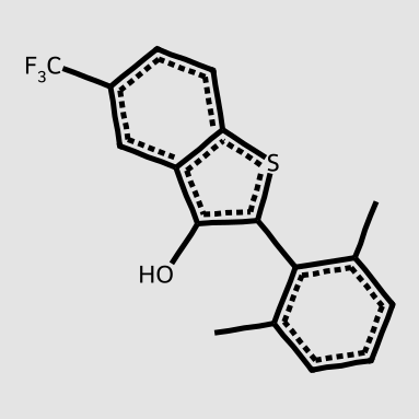 Cc1cccc(C)c1-c1sc2ccc(C(F)(F)F)cc2c1O